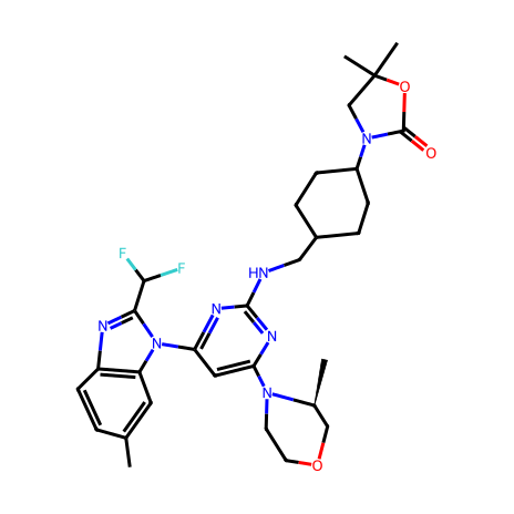 Cc1ccc2nc(C(F)F)n(-c3cc(N4CCOC[C@@H]4C)nc(NCC4CCC(N5CC(C)(C)OC5=O)CC4)n3)c2c1